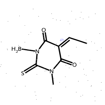 BN1C(=O)/C(=C/C)C(=O)N(C)C1=S